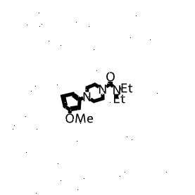 CCN(CC)C(=O)N1CCN(c2cccc(OC)c2)CC1